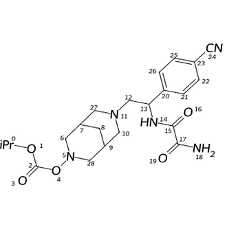 CC(C)OC(=O)ON1CC2CC(CN(CC(NC(=O)C(N)=O)c3ccc(C#N)cc3)C2)C1